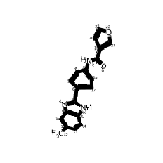 O=C(Nc1ccc(-c2nc3cc(C(F)(F)F)ccc3[nH]2)cc1)c1ccoc1